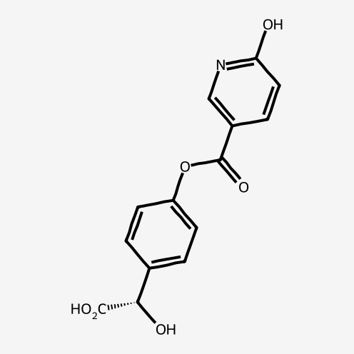 O=C(Oc1ccc([C@H](O)C(=O)O)cc1)c1ccc(O)nc1